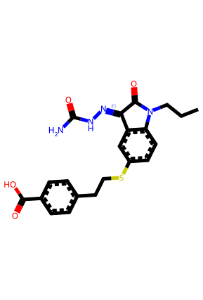 CCCN1C(=O)/C(=N/NC(N)=O)c2cc(SCCc3ccc(C(=O)O)cc3)ccc21